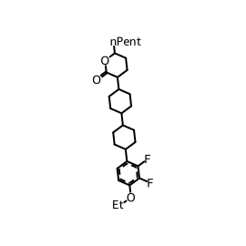 CCCCCC1CCC(C2CCC(C3CCC(c4ccc(OCC)c(F)c4F)CC3)CC2)C(=O)O1